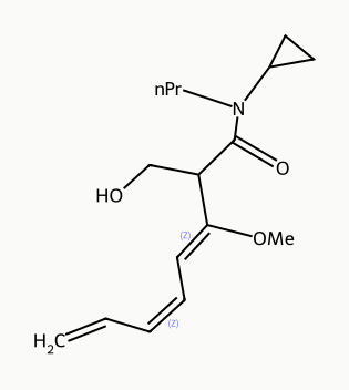 C=C/C=C\C=C(/OC)C(CO)C(=O)N(CCC)C1CC1